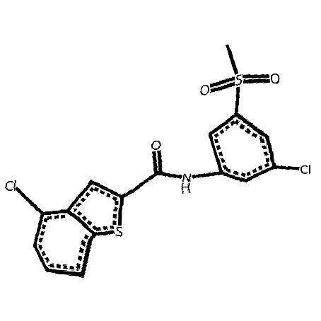 CS(=O)(=O)c1cc(Cl)cc(NC(=O)c2cc3c(Cl)cccc3s2)c1